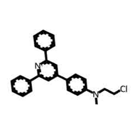 CN(CCCl)c1ccc(-c2cc(-c3ccccc3)nc(-c3ccccc3)c2)cc1